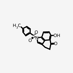 Cc1ccc(S(=O)(=O)n2cc3c4c(c(O)ccc42)C(=O)CC3)cc1